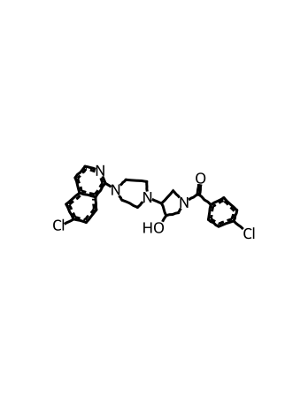 O=C(c1ccc(Cl)cc1)N1CC(O)C(N2CCN(c3nccc4cc(Cl)ccc34)CC2)C1